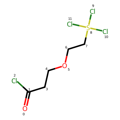 O=C(Cl)CCOCCS(Cl)(Cl)Cl